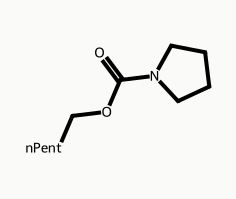 [CH2]CCCCCOC(=O)N1CCCC1